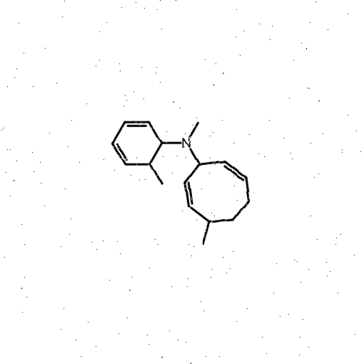 CC1C=CC(N(C)C2C=CC=CC2C)C=CCC1